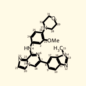 COc1cc(Nc2nc(-c3ccc4ncn(C)c4c3)cn3ccnc23)ccc1N1CCOCC1